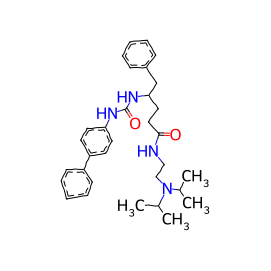 CC(C)N(CCNC(=O)CCC(Cc1ccccc1)NC(=O)Nc1ccc(-c2ccccc2)cc1)C(C)C